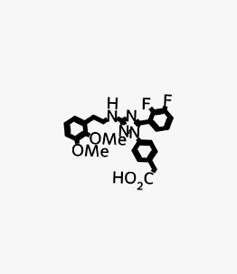 COc1cccc(CCNc2nc(-c3cccc(F)c3F)n(-c3ccc(CC(=O)O)cc3)n2)c1OC